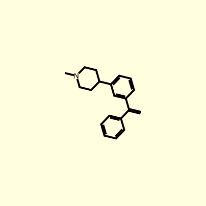 C=C(c1ccccc1)c1cccc(C2CCN(C)CC2)c1